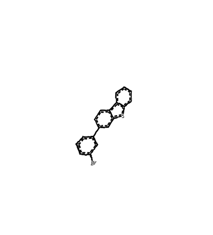 Brc1cccc(-c2ccc3c(c2)sc2ccccc23)c1